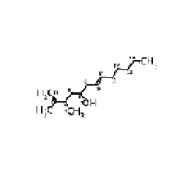 C=C(C)C(C)CC(O)CC=CCCCCC